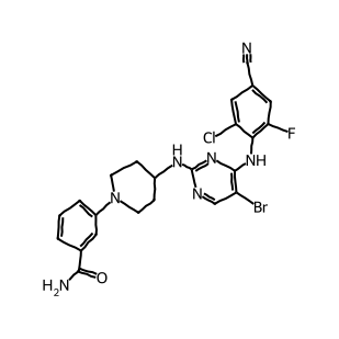 N#Cc1cc(F)c(Nc2nc(NC3CCN(c4cccc(C(N)=O)c4)CC3)ncc2Br)c(Cl)c1